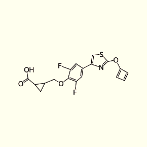 O=C(O)C1CC1COc1c(F)cc(-c2csc(OC3=CC=C3)n2)cc1F